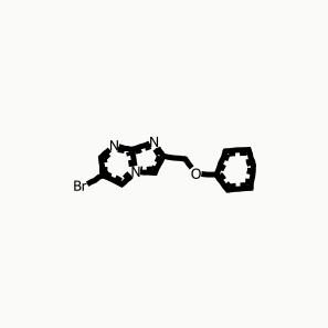 Brc1cnc2nc(COc3ccccc3)cn2c1